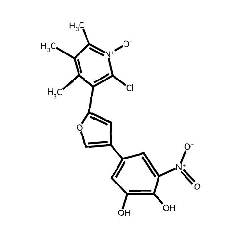 Cc1c(C)c(C)[n+]([O-])c(Cl)c1-c1cc(-c2cc(O)c(O)c([N+](=O)[O-])c2)co1